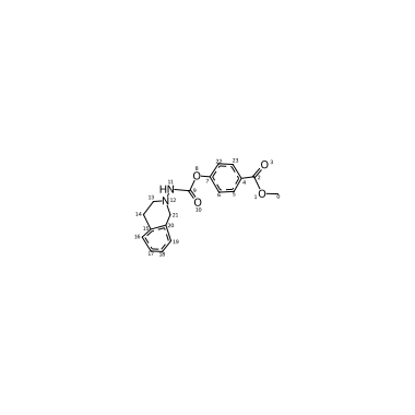 COC(=O)c1ccc(OC(=O)NN2CCc3ccccc3C2)cc1